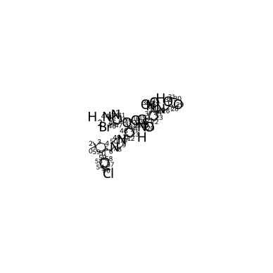 CC1(C)CCC(CN2CCN(c3ccc(C(=O)NS(=O)(=O)c4ccc(NCC5COCCO5)c([N+](=O)[O-])c4)c(Oc4cnc(N)c(Br)c4)c3)CC2)=C(c2ccc(Cl)cc2)C1